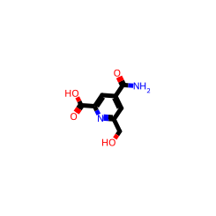 NC(=O)c1cc(CO)nc(C(=O)O)c1